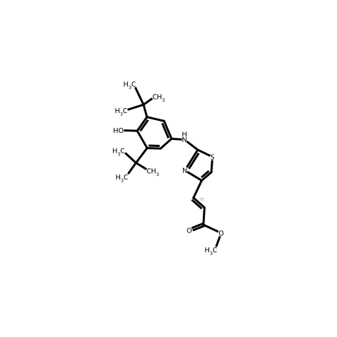 COC(=O)/C=C/c1csc(Nc2cc(C(C)(C)C)c(O)c(C(C)(C)C)c2)n1